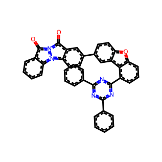 O=c1c2ccccc2n2c3ccc(-c4ccc5oc6cccc(-c7nc(-c8ccccc8)nc(-c8ccccc8)n7)c6c5c4)cc3c(=O)n12